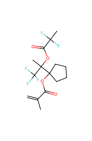 C=C(C)C(=O)OC1(C(C)(OC(=O)C(C)(F)F)C(F)(F)F)CCCC1